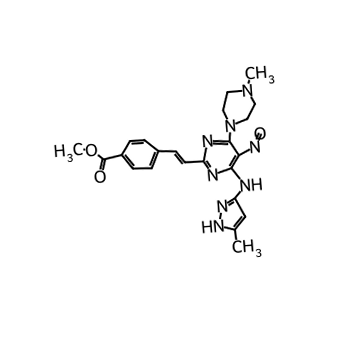 COC(=O)c1ccc(/C=C/c2nc(Nc3cc(C)[nH]n3)c(N=O)c(N3CCN(C)CC3)n2)cc1